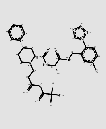 C[C@H](NC(=O)[C@H]1C[C@@H](c2ccccc2)CCN1CCC(=O)OC(=O)C(F)(F)F)C(=O)NCc1cc(Cl)ccc1-n1cnnn1